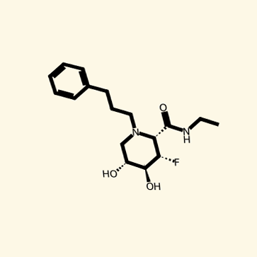 CCNC(=O)[C@@H]1[C@H](F)[C@@H](O)[C@H](O)CN1CCCc1ccccc1